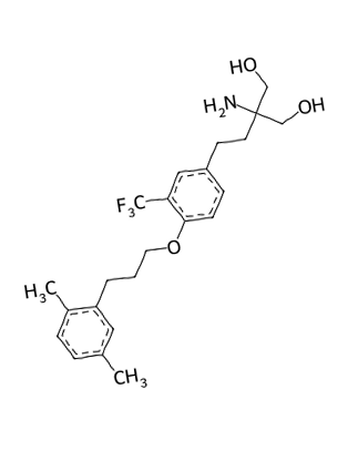 Cc1ccc(C)c(CCCOc2ccc(CCC(N)(CO)CO)cc2C(F)(F)F)c1